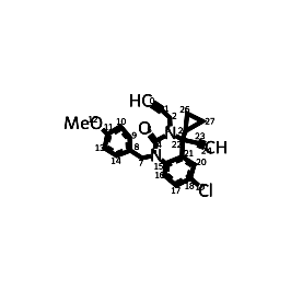 C#CCN1C(=O)N(Cc2ccc(OC)cc2)c2ccc(Cl)cc2C1(C#C)C1CC1